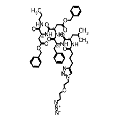 CCCNC(=O)[C@H](CC(=O)OCc1ccccc1)NC(=O)[C@@H](CC(=O)OCc1ccccc1)NC(=O)[C@H](Cc1ccccc1)NC(=O)[C@@H](CC(C)C)NC(=O)CCCc1cn(CCOCCN=[N+]=[N-])nn1